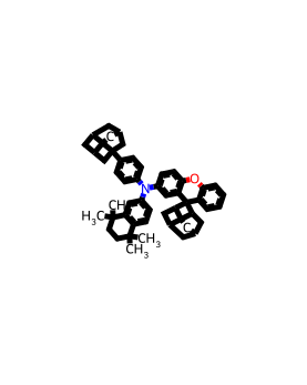 CC1(C)CCC(C)(C)c2cc(N(c3ccc(C45CC6CC7CC(C4)C75C6)cc3)c3ccc4c(c3)C3(c5ccccc5O4)C4CC5CC6CC3C64C5)ccc21